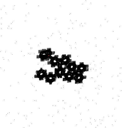 c1ccc(-c2cccc(-c3nc(-c4cccc([Si](c5ccccc5)(c5ccccc5)c5ccccc5)c4)nc(-n4c5ccccc5c5cc(N6C7CC8CC(C7)CC6C8)ccc54)n3)c2)cc1